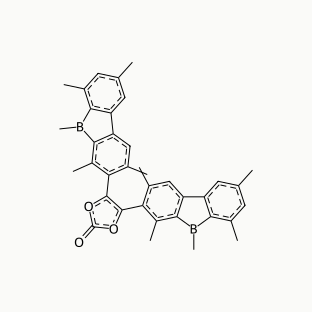 CB1c2c(C)cc(C)cc2-c2cc(C)c(-c3oc(=O)oc3-c3c(C)cc4c(c3C)B(C)c3c(C)cc(C)cc3-4)c(C)c21